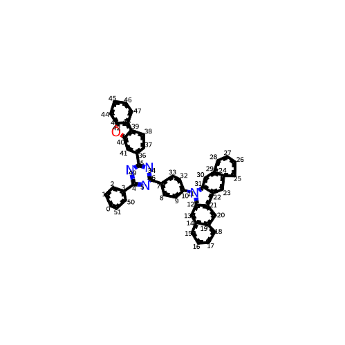 c1ccc(-c2nc(-c3ccc(-n4c5cc6ccccc6cc5c5cc6ccccc6cc54)cc3)nc(-c3ccc4c(c3)oc3ccccc34)n2)cc1